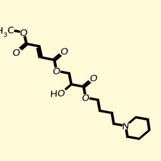 COC(=O)/C=C/C(=O)OCC(O)C(=O)OCCCCN1CCCCC1